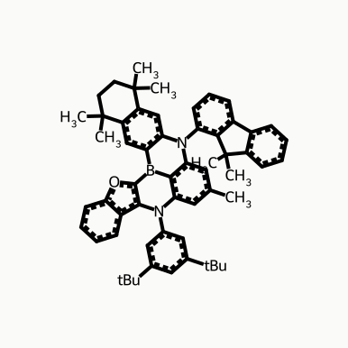 Cc1cc2c3c(c1)N(c1cc(C(C)(C)C)cc(C(C)(C)C)c1)c1c(oc4ccccc14)B3c1cc3c(cc1N2c1cccc2c1C(C)(C)c1ccccc1-2)C(C)(C)CCC3(C)C